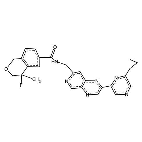 CC1(F)COCc2ccc(C(=O)NCc3cc4nc(-c5cncc(C6CC6)n5)cnc4cn3)cc21